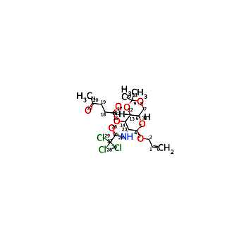 C=CCO[C@@H]1O[C@@H]2COC(C)(C)O[C@H]2[C@H](OC(=O)CCC(C)=O)[C@H]1NC(=O)C(Cl)(Cl)Cl